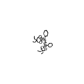 CCC1(CC)COP(N(SSN(C2CCCCC2)P2OCC(CC)(CC)CO2)C2CCCCC2)OC1